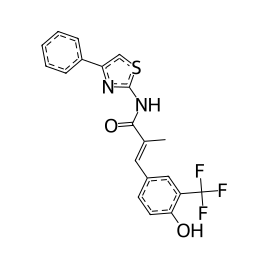 C/C(=C\c1ccc(O)c(C(F)(F)F)c1)C(=O)Nc1nc(-c2ccccc2)cs1